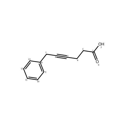 O=C(O)CCC#CCc1ccccc1